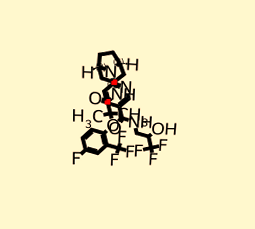 CC(C)(Oc1ccc(F)cc1C(F)(F)F)C(=O)N[C@H]1C[C@H]2CC[C@@H](C1)N2c1ccc(C(=O)NCC(O)C(F)(F)F)cn1